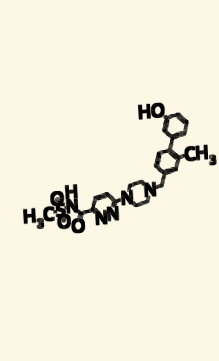 Cc1cc(CN2CCN(c3ccc(C(=O)NS(C)(=O)=O)nn3)CC2)ccc1-c1cccc(O)c1